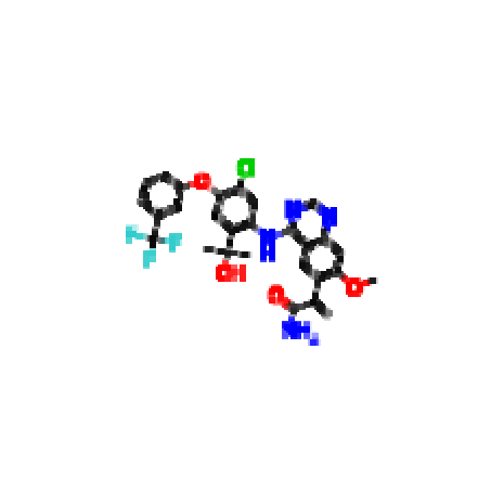 C=C(C(N)=O)c1cc2c(Nc3cc(Cl)c(Oc4cccc(C(F)(F)F)c4)cc3C(C)(C)O)ncnc2cc1OC